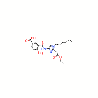 CCCCCCn1cc(NC(=O)c2cc(C(=O)O)ccc2O)nc1CC(=O)OCC